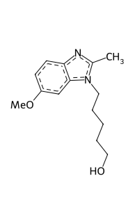 COc1ccc2nc(C)n(CCCCCO)c2c1